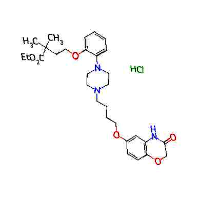 CCOC(=O)C(C)(C)CCOc1ccccc1N1CCN(CCCCOc2ccc3c(c2)NC(=O)CO3)CC1.Cl